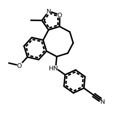 COc1ccc2c(c1)C(Nc1ccc(C#N)cc1)CCCc1onc(C)c1-2